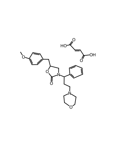 COc1ccc(CC2CN(C(CCN3CCOCC3)c3ccccc3)C(=O)O2)cc1.O=C(O)C=CC(=O)O